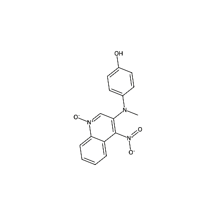 CN(c1ccc(O)cc1)c1c[n+]([O-])c2ccccc2c1[N+](=O)[O-]